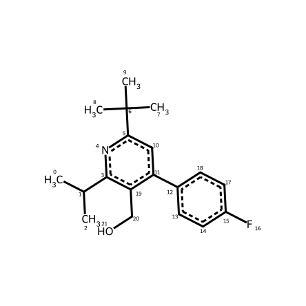 CC(C)c1nc(C(C)(C)C)cc(-c2ccc(F)cc2)c1CO